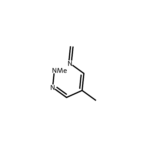 C=N/C=C(C)\C=N/NC